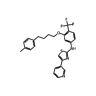 Cc1ccc(CCCCOc2cc(Nc3nc(-c4cccnc4)cs3)ccc2C(F)(F)F)cc1